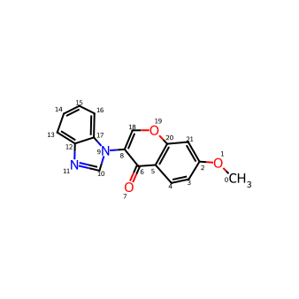 COc1ccc2c(=O)c(-n3cnc4ccccc43)coc2c1